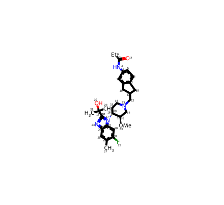 CCC(=O)Nc1ccc2c(c1)CC(CN1CC[C@@H](n3c(C(C)(C)O)nc4cc(C)c(F)cc43)[C@H](OC)C1)C2